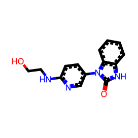 O=c1[nH]c2ccccc2n1-c1ccc(NCCO)nc1